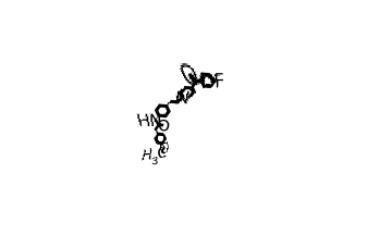 CO[C@H]1CC[C@@H](CC(=O)N[C@H]2CC[C@H](CCN3CCC(C(=O)c4ccc(F)cc4)CC3)CC2)CC1